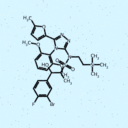 COc1cccc(OC)c1-n1c(-c2ccc(C)o2)nnc1N(CC[Si](C)(C)C)S(=O)(=O)C(C)C(O)c1ccc(F)c(Br)c1